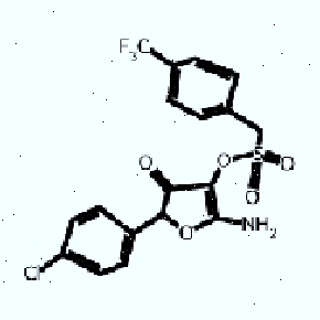 NC1=C(OS(=O)(=O)Cc2ccc(C(F)(F)F)cc2)C(=O)C(c2ccc(Cl)cc2)O1